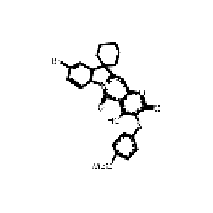 COc1ccc(Sc2c(O)c3c(=O)n4c(cc3oc2=O)C2(CCCCC2)C2C=C(Br)C=CC24)cc1